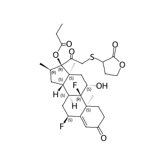 CCC(=O)O[C@]1(C(=O)CSC2CCOC2=O)[C@H](C)C[C@H]2[C@@H]3C[C@H](F)C4=CC(=O)CC[C@]4(C)[C@@]3(F)[C@@H](O)C[C@@]21C